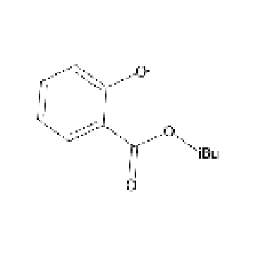 CCC(C)OC(=O)c1ccccc1[O]